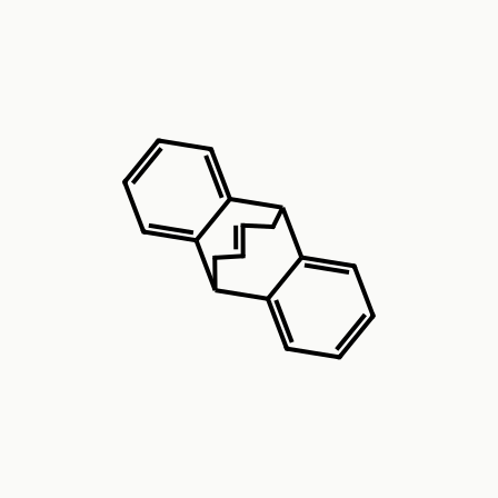 C1=C/CC2c3ccccc3C(C/1)c1ccccc12